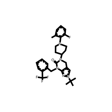 Cc1cccc(F)c1N1CCC(N2Cc3cn(C(C)(C)C)nc3N(Cc3ccccc3C(F)(F)F)C2=O)CC1